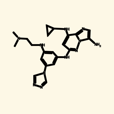 CN(C)CCNc1cc(Nc2cc(NC3CC3)c3ncc(N)n3n2)cc(-n2cnnc2)c1